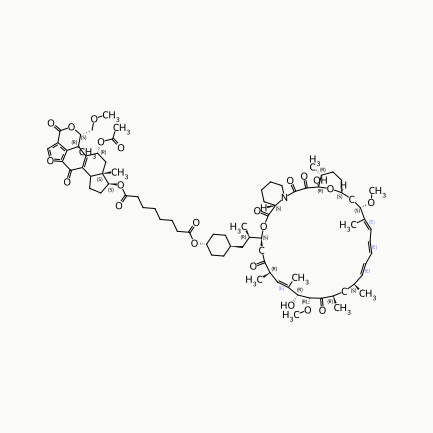 COC[C@H]1OC(=O)c2coc3c2[C@@]1(C)C1=C(C3=O)C2CC[C@H](OC(=O)CCCCCCC(=O)O[C@H]3CC[C@H](C[C@@H](C)[C@@H]4CC(=O)[C@H](C)/C=C(\C)[C@@H](O)[C@@H](OC)C(=O)[C@H](C)C[C@H](C)/C=C/C=C/C=C(\C)[C@@H](OC)C[C@@H]5CC[C@@H](C)[C@@](O)(O5)C(=O)C(=O)N5CCCC[C@H]5C(=O)O4)CC3)[C@@]2(C)C[C@H]1OC(C)=O